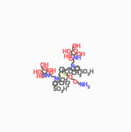 CC1(C)C(/C=C/C2=C(SCCOCCOCCN)C(=C/C=C3/N(CCC(=O)NC4C(O)OC(CO)C(O)C4O)c4ccc(S(=O)(=O)O)cc4C3(C)C)/CCC2)=[N+](CCC(=O)NC2C(O)OC(CO)C(O)C2O)c2ccc(S(=O)(=O)O)cc21